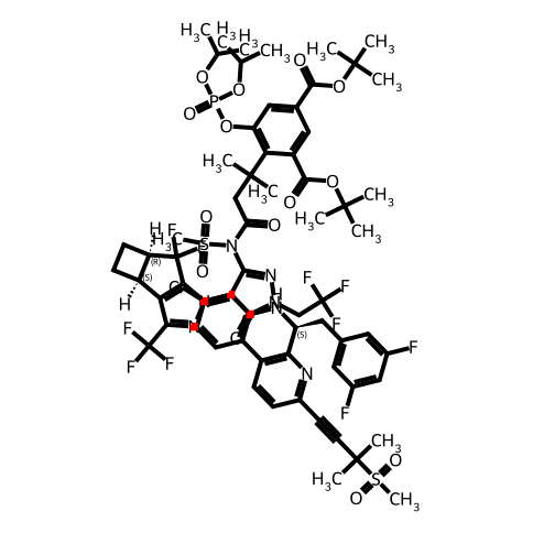 CC(C)OP(=O)(Oc1cc(C(=O)OC(C)(C)C)cc(C(=O)OC(C)(C)C)c1C(C)(C)CC(=O)N(c1nn(CC(F)(F)F)c2c(-c3ccc(C#CC(C)(C)S(C)(=O)=O)nc3[C@H](Cc3cc(F)cc(F)c3)NC(=O)Cn3nc(C(F)(F)F)c4c3C(F)(F)[C@@H]3CC[C@H]43)ccc(Cl)c12)S(C)(=O)=O)OC(C)C